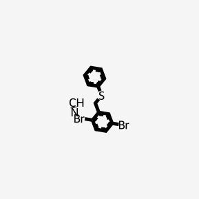 Brc1ccc(Br)c(CSc2ccccc2)c1.C#N